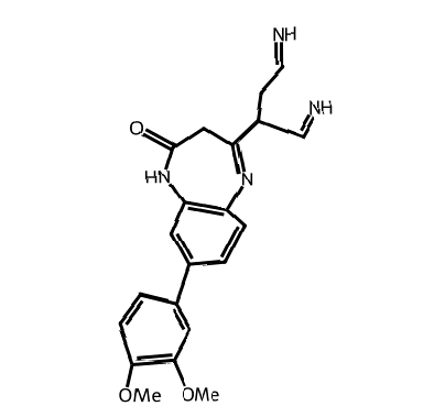 COc1ccc(-c2ccc3c(c2)NC(=O)CC(C(C=N)CC=N)=N3)cc1OC